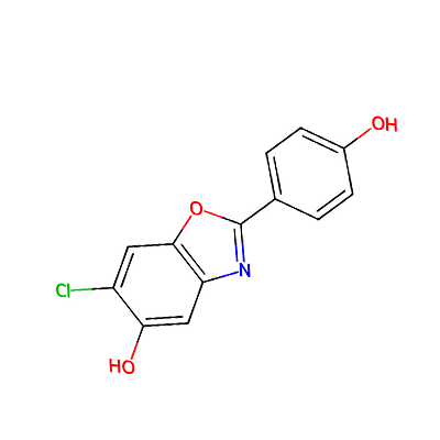 Oc1ccc(-c2nc3cc(O)c(Cl)cc3o2)cc1